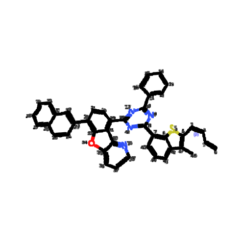 C=C/C=C\c1sc2c(-c3nc(-c4ccccc4)nc(-c4ccc(-c5ccc6ccccc6c5)c5oc6cccnc6c45)n3)cccc2c1C